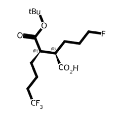 CC(C)(C)OC(=O)[C@H](CCCC(F)(F)F)[C@@H](CCCF)C(=O)O